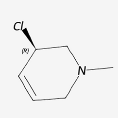 CN1CC=C[C@@H](Cl)C1